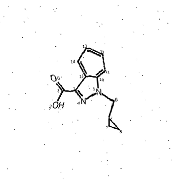 O=C(O)c1nn(CC2CC2)c2ccccc12